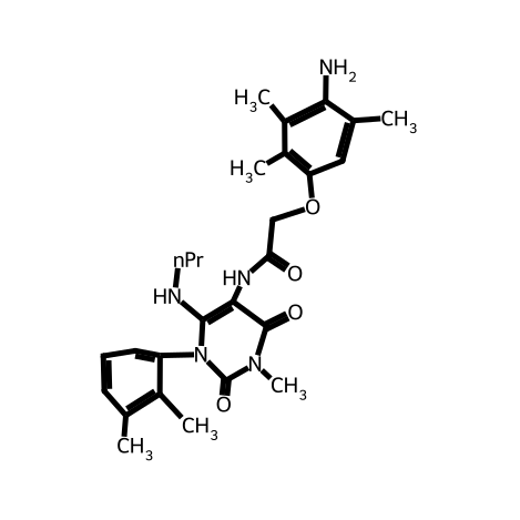 CCCNc1c(NC(=O)COc2cc(C)c(N)c(C)c2C)c(=O)n(C)c(=O)n1-c1cccc(C)c1C